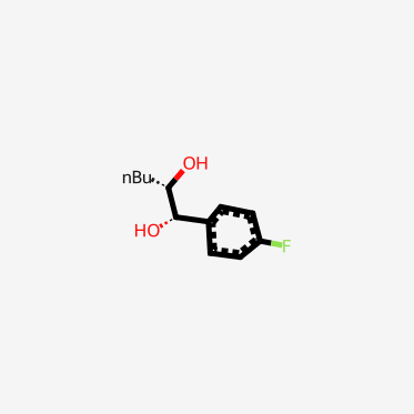 CCCC[C@H](O)[C@@H](O)c1ccc(F)cc1